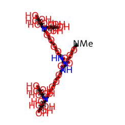 CNCCOCCOCCC(=O)N(CC(=O)NCCOCCOCCOCCOCCN(C[C@H](O)[C@@H](O)[C@H](O)[C@H](O)CO)C[C@H](O)[C@@H](O)[C@H](O)[C@H](O)CO)CC(=O)NCCOCCOCCOCCOCCN(C[C@H](O)[C@@H](O)[C@H](O)[C@H](O)CO)C[C@H](O)[C@@H](O)[C@H](O)[C@H](O)CO